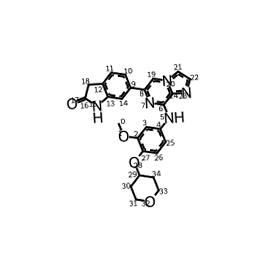 COc1cc(Nc2nc(-c3ccc4c(c3)NC(=O)C4)cn3ccnc23)ccc1OC1CCOCC1